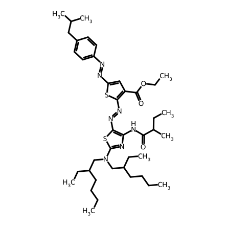 CCCCC(CC)CN(CC(CC)CCCC)c1nc(NC(=O)C(C)CC)c(N=Nc2sc(N=Nc3ccc(CC(C)C)cc3)cc2C(=O)OCC)s1